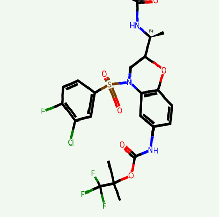 CC(=O)N[C@@H](C)C1CN(S(=O)(=O)c2ccc(F)c(Cl)c2)c2cc(NC(=O)OC(C)(C)C(F)(F)F)ccc2O1